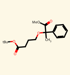 COC(=O)C(C)(OCCCC(=O)OC(C)(C)C)c1ccccc1